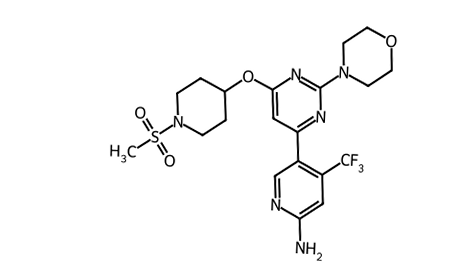 CS(=O)(=O)N1CCC(Oc2cc(-c3cnc(N)cc3C(F)(F)F)nc(N3CCOCC3)n2)CC1